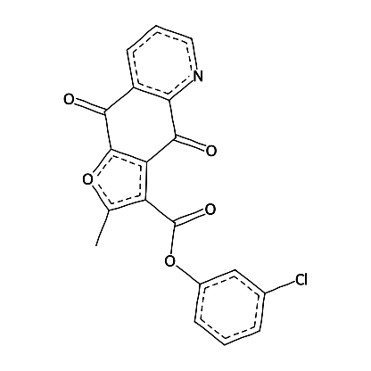 Cc1oc2c(c1C(=O)Oc1cccc(Cl)c1)C(=O)c1ncccc1C2=O